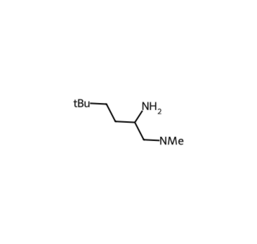 CNCC(N)CCC(C)(C)C